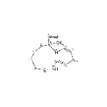 CCCCCC1(C)CCCCCNC2=CSC=CN21